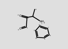 CC(N)C(=O)C=O.c1ccccc1